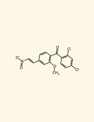 COc1cc(C=C[N+](=O)[O-])ccc1C(=O)c1ccc(Cl)cc1Cl